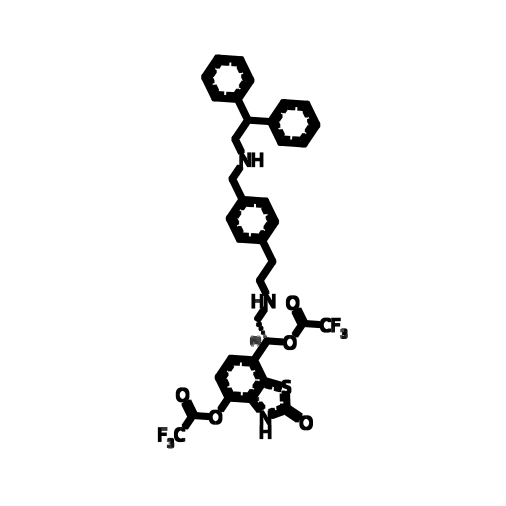 O=C(Oc1ccc([C@H](CNCCc2ccc(CNCC(c3ccccc3)c3ccccc3)cc2)OC(=O)C(F)(F)F)c2sc(=O)[nH]c12)C(F)(F)F